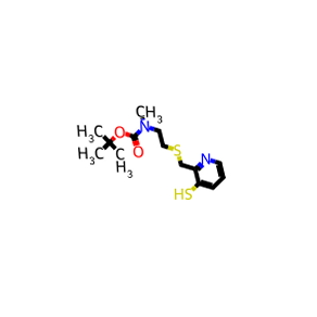 CN(CCSCc1ncccc1S)C(=O)OC(C)(C)C